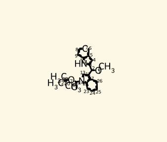 COC(c1cc2ccccc2[nH]1)c1cn(C(=O)OC(C)(C)C)c2ccccc12